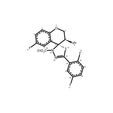 CCC[C@@H]1COc2ccc(F)cc2[C@@]12SC(c1cc(F)ccc1F)=NN2C(=O)OCC